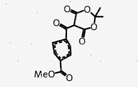 COC(=O)c1ccc(C(=O)C2C(=O)OC(C)(C)OC2=O)cc1